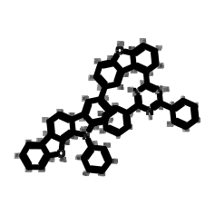 c1ccc(-c2nc(-c3ccccc3)nc(-c3cccc4oc5ccc(-c6ccc7c(c6)c6ccc8c9ccccc9oc8c6n7-c6ccccc6)cc5c34)n2)cc1